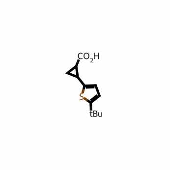 CC(C)(C)c1ccc(C2CC2C(=O)O)s1